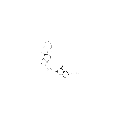 COc1ccc2nc(CC[C@@H](C)[C@H]3CC[C@H]4[C@H]5C(CC[C@]34C)[C@@]3(C)CC[C@@H](O)C[C@H]3C[C@@H]5O)oc(=O)c2c1